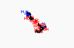 CC(=O)N[C@@H]1[C@@H](O)CC(O)(C(=O)O)O[C@H]1C(O)C(O)CO.Nc1ccn([C@@H]2O[C@H](COP(=O)([O-])[O-])[C@@H](O)[C@H]2O)c(=O)n1.[Na+].[Na+]